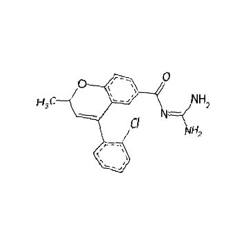 CC1C=C(c2ccccc2Cl)c2cc(C(=O)N=C(N)N)ccc2O1